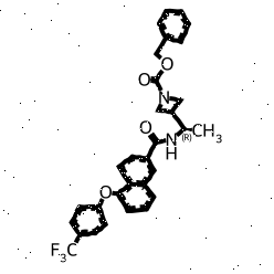 C[C@@H](NC(=O)c1ccc2c(Oc3ccc(C(F)(F)F)cc3)cccc2c1)C1CN(C(=O)OCc2ccccc2)C1